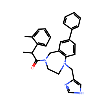 Cc1ccccc1C(C)C(=O)N1CCN(Cc2c[nH]cn2)c2ccc(-c3ccccc3)cc2C1